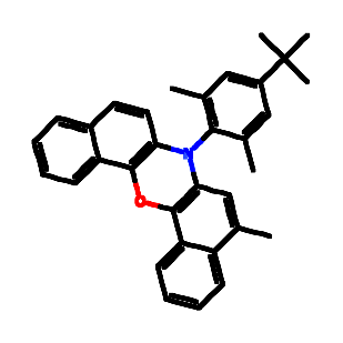 Cc1cc(C(C)(C)C)cc(C)c1N1c2ccc3ccccc3c2Oc2c1cc(C)c1ccccc21